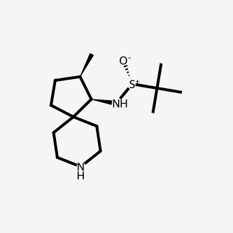 C[C@@H]1CCC2(CCNCC2)[C@@H]1N[S@+]([O-])C(C)(C)C